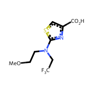 COCCN(CC(F)(F)F)c1nc(C(=O)O)cs1